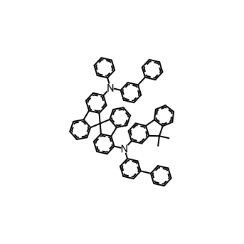 CC1(C)c2ccccc2-c2ccc(N(c3cccc(-c4ccccc4)c3)c3cccc4c3-c3ccccc3C43c4ccccc4-c4ccc(N(c5ccccc5)c5cccc(-c6ccccc6)c5)cc43)cc21